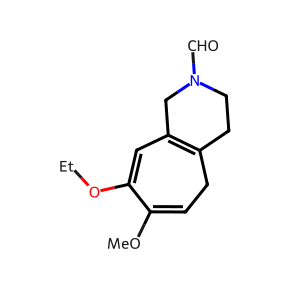 CCOC1=CC2=C(CC=C1OC)CCN(C=O)C2